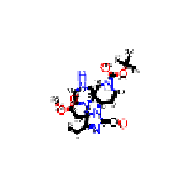 CCC1=NC(=C=O)N(C2CCN(C(=O)OC(C)(C)C)CC2)C1(CC(=O)OC)N1CCNCC1